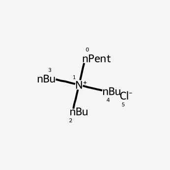 CCCCC[N+](CCCC)(CCCC)CCCC.[Cl-]